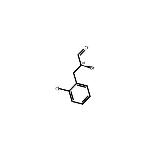 O=C[C@@H](Br)Cc1ccccc1Cl